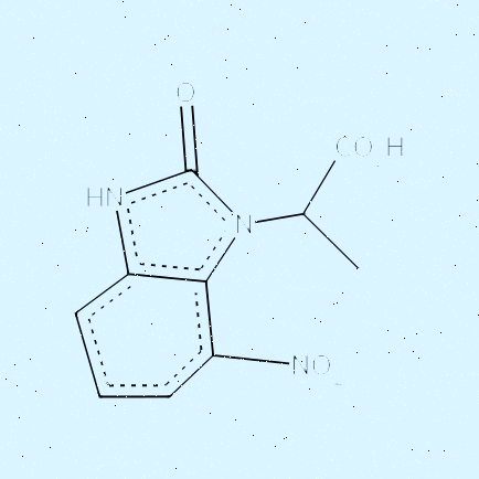 CC(C(=O)O)n1c(=O)[nH]c2cccc([N+](=O)[O-])c21